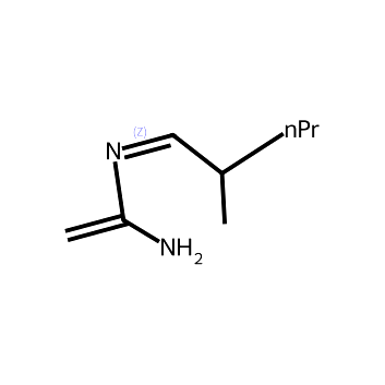 C=C(N)/N=C\C(C)CCC